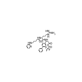 N=C(N)NCCC[C@H](NC(=O)CCCCNc1ccccn1)C(=O)NC(CC(=O)OC(=O)C(F)(F)F)c1ccc(-c2ccccc2)cc1